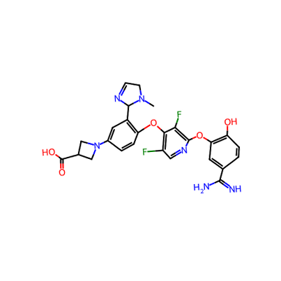 CN1CC=NC1c1cc(N2CC(C(=O)O)C2)ccc1Oc1c(F)cnc(Oc2cc(C(=N)N)ccc2O)c1F